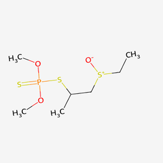 CC[S+]([O-])CC(C)SP(=S)(OC)OC